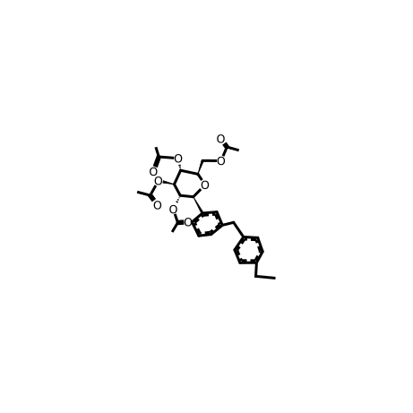 CCc1ccc(Cc2cccc([C@@H]3O[C@H](COC(C)=O)[C@@H](OC(C)=O)[C@H](OC(C)=O)[C@H]3OC(C)=O)c2)cc1